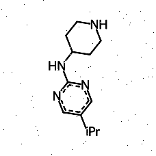 CC(C)c1cnc(NC2CCNCC2)nc1